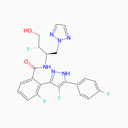 O=C(N[C@H](Cn1nccn1)[C@H](F)CO)c1cccc(F)c1-c1n[nH]c(-c2ccc(F)cc2)c1F